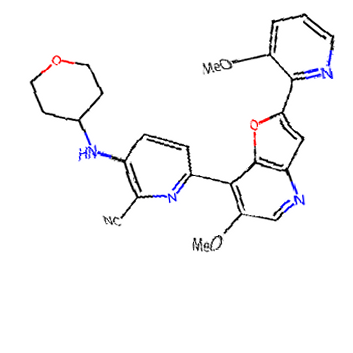 COc1cccnc1-c1cc2ncc(OC)c(-c3ccc(NC4CCOCC4)c(C#N)n3)c2o1